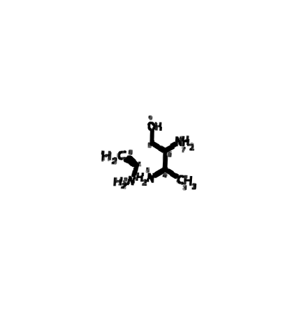 C=CN.CC(N)C(N)CO